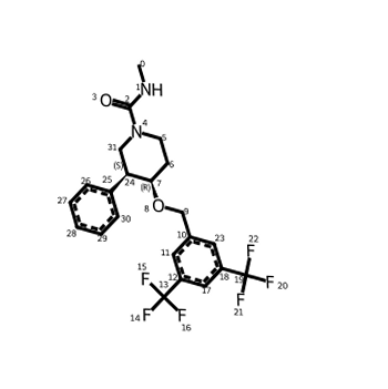 CNC(=O)N1CC[C@@H](OCc2cc(C(F)(F)F)cc(C(F)(F)F)c2)[C@@H](c2ccccc2)C1